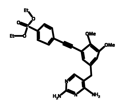 CCOP(=O)(OCC)c1ccc(C#Cc2cc(Cc3cnc(N)nc3N)cc(OC)c2OC)cc1